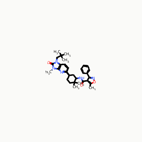 Cc1onc(-c2ccccc2)c1C(=O)NC1CC(c2ccc3c(n2)n(C)c(=O)n3CC(C)(C)C)CCC1(C)C